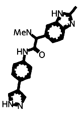 CNC(C(=O)Nc1ccc(-c2cn[nH]c2)cc1)c1ccc2nc(C)[nH]c2c1